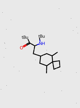 CC1CC(CC(NC(C)(C)C)C(=O)C(C)(C)C)CC(C)C12CCC2